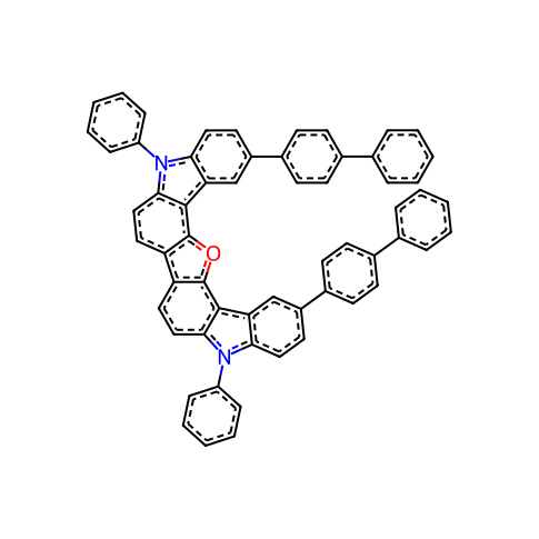 c1ccc(-c2ccc(-c3ccc4c(c3)c3c5oc6c(ccc7c6c6cc(-c8ccc(-c9ccccc9)cc8)ccc6n7-c6ccccc6)c5ccc3n4-c3ccccc3)cc2)cc1